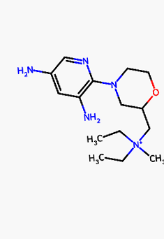 CC[N+](C)(CC)CC1CN(c2ncc(N)cc2N)CCO1